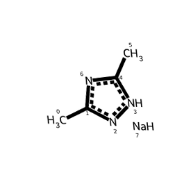 Cc1n[nH]c(C)n1.[NaH]